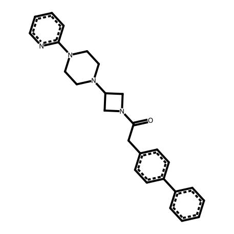 O=C(Cc1ccc(-c2ccccc2)cc1)N1CC(N2CCN(c3ccccn3)CC2)C1